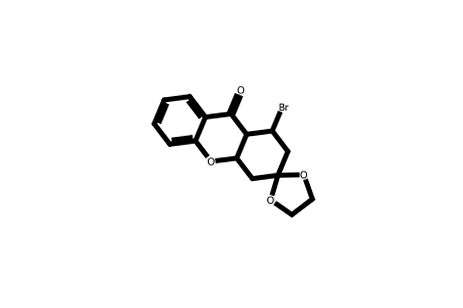 O=C1c2ccccc2OC2CC3(CC(Br)C12)OCCO3